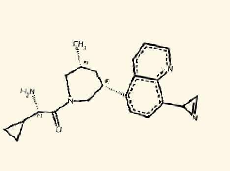 C[C@@H]1C[C@H](c2ccc(C3C=N3)c3ncccc23)CN(C(=O)[C@@H](N)C2CC2)C1